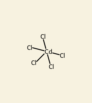 [Cl][Cd]([Cl])([Cl])([Cl])[Cl]